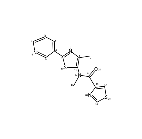 Cc1nc(-c2cccnc2)sc1N(C)C(=O)c1cscn1